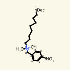 CCCCCCCCCCCCCCCCCC[N+](C)(C)Cc1ccc([N+](=O)[O-])cc1